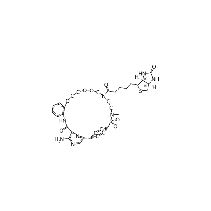 CN1CCN(C(=O)CCCCC2SC[C@@H]3NC(=O)N[C@H]23)CCOCCOc2ccccc2NC(=O)c2nc(cnc2N)-c2ccc(cc2)S1(=O)=O